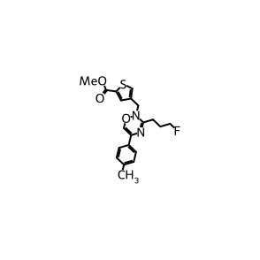 COC(=O)c1cc(CN2OC=C(c3ccc(C)cc3)N=C2CCCF)cs1